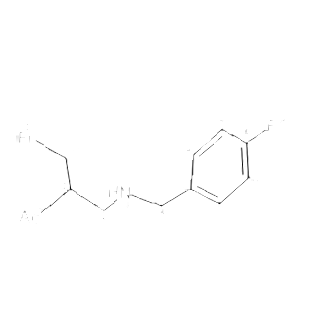 CC(=O)C(CNCc1ccc(F)cc1)CC(C)C